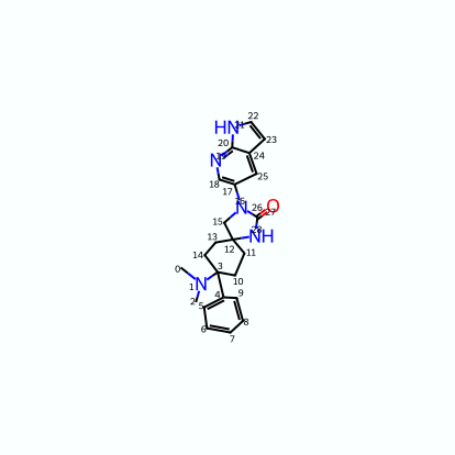 CN(C)C1(c2ccccc2)CCC2(CC1)CN(c1cnc3[nH]ccc3c1)C(=O)N2